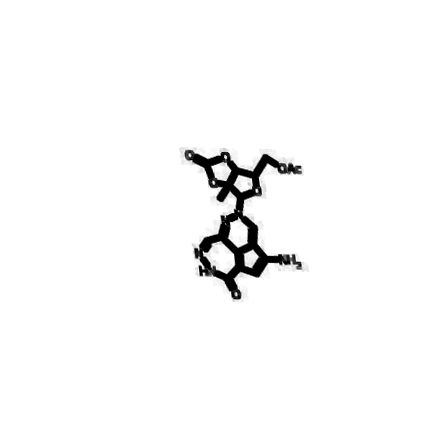 CC(=O)OCC1OC(n2cc3c(N)cc4c(=O)[nH]ncc(n2)c34)C2(C)OC(=O)OC12